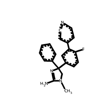 CN1CC(c2ccccc2)(c2ccc(F)c(-c3ccncc3)c2)N=C1N